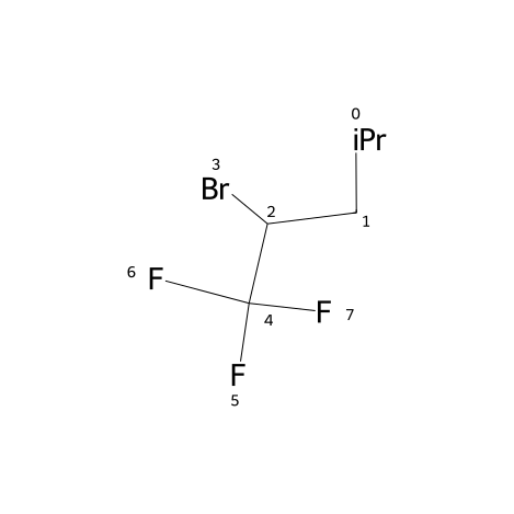 CC(C)CC(Br)C(F)(F)F